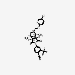 C[C@]12O[C@](C)(C[C@H]1COc1ccc(Cl)cn1)[C@H]1C(=O)N(c3ccc(C#N)c(C(F)(F)F)c3)C(=O)[C@H]12